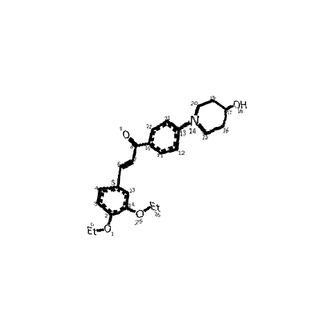 CCOc1ccc(C=CC(=O)c2ccc(N3CCC(O)CC3)cc2)cc1OCC